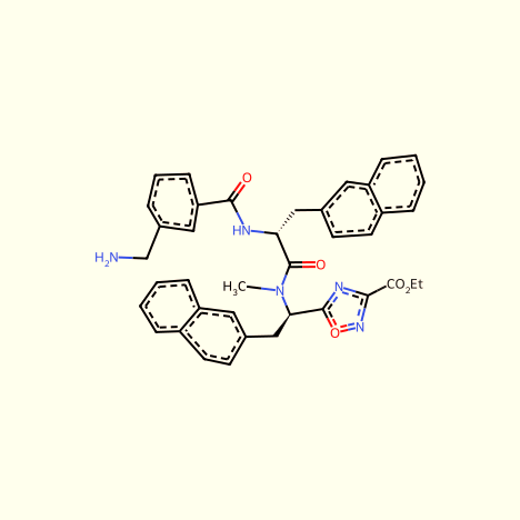 CCOC(=O)c1noc([C@@H](Cc2ccc3ccccc3c2)N(C)C(=O)[C@@H](Cc2ccc3ccccc3c2)NC(=O)c2cccc(CN)c2)n1